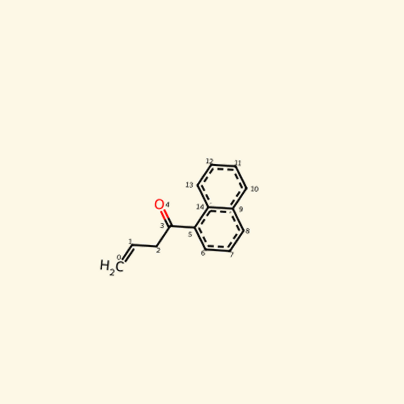 C=CCC(=O)c1cccc2ccccc12